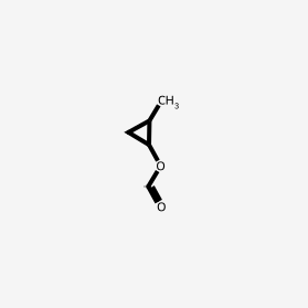 CC1CC1O[C]=O